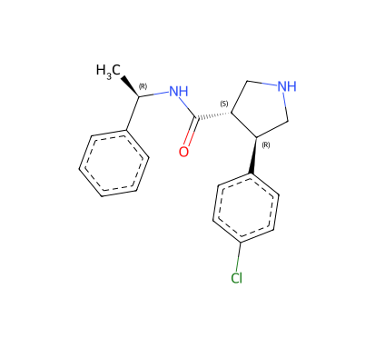 C[C@@H](NC(=O)[C@@H]1CNC[C@H]1c1ccc(Cl)cc1)c1ccccc1